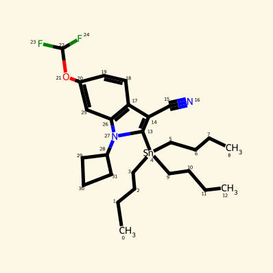 CCC[CH2][Sn]([CH2]CCC)([CH2]CCC)[c]1c(C#N)c2ccc(OC(F)F)cc2n1C1CCC1